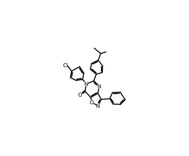 CC(C)c1ccc(-c2nc3c(-c4ccccc4)noc3c(=O)n2-c2ccc(Cl)cc2)cc1